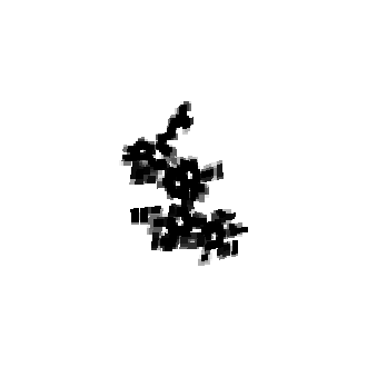 C=C(CCC=C(C)C)[C@H]1CC[C@@](C)(CC)[C@@H]1[C@H](O)C[C@H]1CC[C@H](O[C@@H]2O[C@H](CO)[C@@H](O)[C@H](O)C2O[C@H]2O[C@@H](C)[C@H](O)[C@@H](O)[C@@H]2O)[C@H]2C(C)(C)[C@@H](O)CC[C@]12C